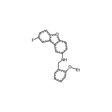 CCOc1ccccc1CNc1ccc2oc3ccc(F)cc3c2c1